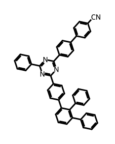 N#Cc1ccc(-c2ccc(-c3nc(-c4ccccc4)nc(-c4ccc(-c5cccc(-c6ccccc6)c5-c5ccccc5)cc4)n3)cc2)cc1